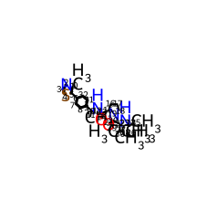 Cc1ncsc1-c1ccc(C(C)NC(=O)C2CCCN2C(=O)C(NC(C)C)C(C)(C)C)cc1